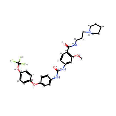 COc1cc(NC(=O)Nc2ccc(Oc3ccc(OC(F)(F)F)cc3)cc2)ccc1C(=O)NCCCN1CCCCC1